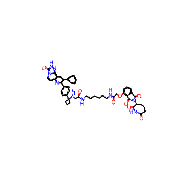 O=C(CNC1(c2ccc(-c3nc4ccn5c(=O)[nH]nc5c4cc3-c3ccccc3)cc2)CCC1)NCCCCCCNC(=O)COc1cccc2c1C(=O)N(C1CCCC(=O)NC1=O)C2=O